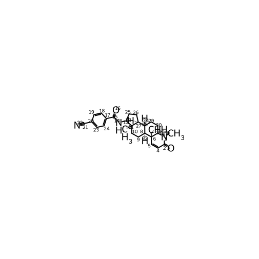 CN1C(=O)C=C[C@]2(C)[C@H]3CC[C@]4(C)C(NC(=O)c5ccc(C#N)cc5)CC[C@H]4[C@@H]3CC[C@@H]12